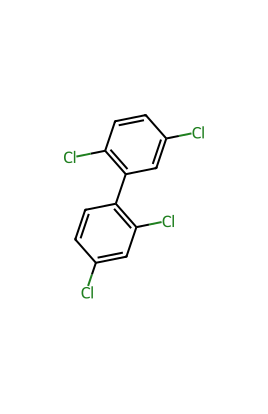 Clc1ccc(-c2cc(Cl)ccc2Cl)c(Cl)c1